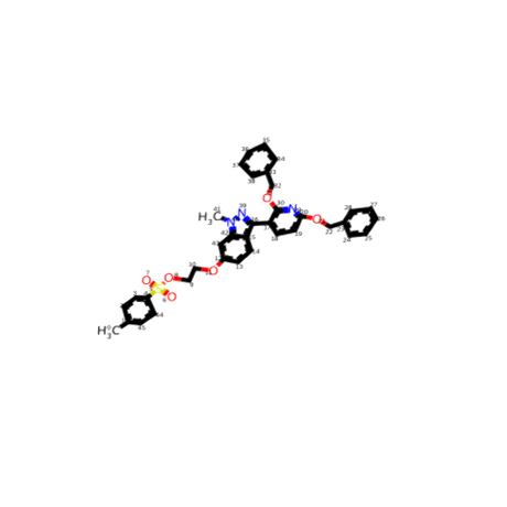 Cc1ccc(S(=O)(=O)OCCOc2ccc3c(-c4ccc(OCc5ccccc5)nc4OCc4ccccc4)nn(C)c3c2)cc1